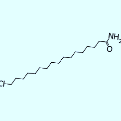 NC(=O)CCCCCCCCCCCCCCCCCl